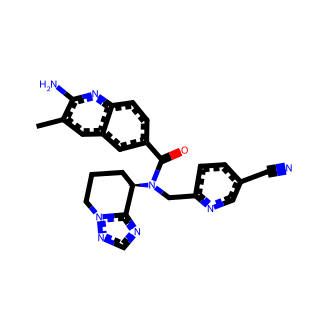 Cc1cc2cc(C(=O)N(Cc3ccc(C#N)cn3)[C@@H]3CCCn4ncnc43)ccc2nc1N